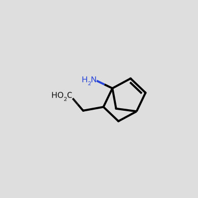 NC12C=CC(CC1CC(=O)O)C2